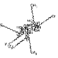 CCCCCCCCCCCCCC(=O)O[C@H](CCCCCCCCCCC)CC(=O)OC1[C@H](OP(=O)(O)O)C(CO)O[C@@H](OCC2OC(O)C(NC(=O)C[C@H](O)CCCCCCCCCCC)[C@@H](OC(=O)C[C@H](O)CCCCCCCCCCC)[C@@H]2O)[C@H]1NC(=O)C[C@@H](CCCCCCCCCCC)OC(=O)CCCCCCCCCCC